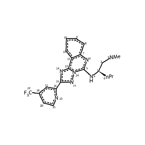 CCC[C@H](CNC)Nc1nc2ccccc2c2nc(-c3cc(C(F)(F)F)ccn3)nn12